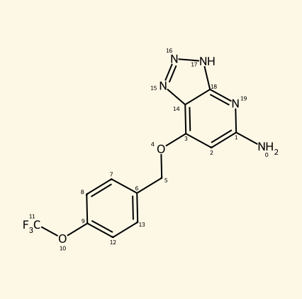 Nc1cc(OCc2ccc(OC(F)(F)F)cc2)c2nn[nH]c2n1